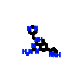 Cc1cc(-c2cc[nH]n2)cc2nc(N)nc(NCc3cncnc3)c12